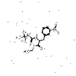 CCOC(=O)C(Cc1cccc([N+](=O)[O-])c1)NC(=O)OC(C)(C)C